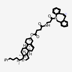 CC(C)CCC[C@@H](C)[C@H]1CC[C@H]2[C@@H]3CC=C4C[C@@H](OC(=O)CCC(=O)NCCC(=O)N5Cc6ccccc6/C=C\c6ccccc65)CC[C@]4(C)[C@H]3CC[C@]12C